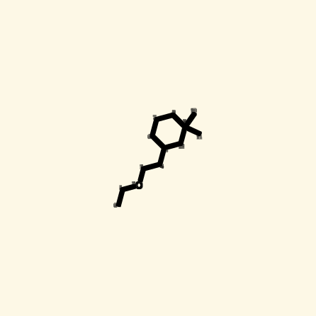 CCOCCC1CCCC(C)(C)C1